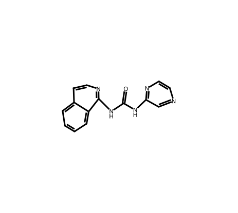 O=C(Nc1cnccn1)Nc1nccc2ccccc12